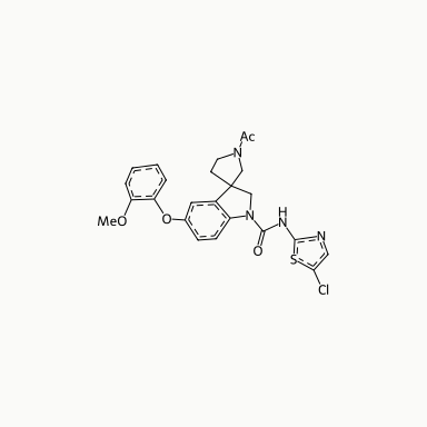 COc1ccccc1Oc1ccc2c(c1)C1(CCN(C(C)=O)C1)CN2C(=O)Nc1ncc(Cl)s1